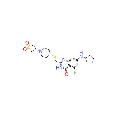 O=c1[nH]c(CSC2CCN(C3CS(=O)(=O)C3)CC2)nc2cc(NC3CCCC3)cc(F)c12